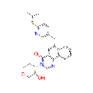 CC(C)Sc1ccc(Cc2cc3c(=O)n([C@H]4CCOC[C@@H]4O)cnc3c3ccccc23)cn1